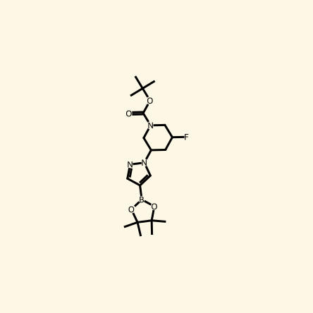 CC(C)(C)OC(=O)N1CC(F)CC(n2cc(B3OC(C)(C)C(C)(C)O3)cn2)C1